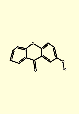 CC(C)Oc1ccc2sc3ccccc3c(=O)c2c1